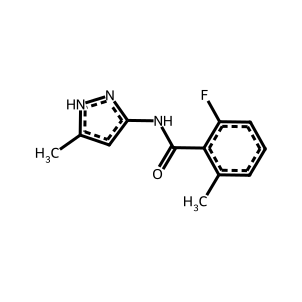 Cc1cc(NC(=O)c2c(C)cccc2F)n[nH]1